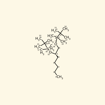 CCCCC[C@H](CO[Si](C)(C)C(C)(C)C)O[Si](C)(C)C(C)(C)C